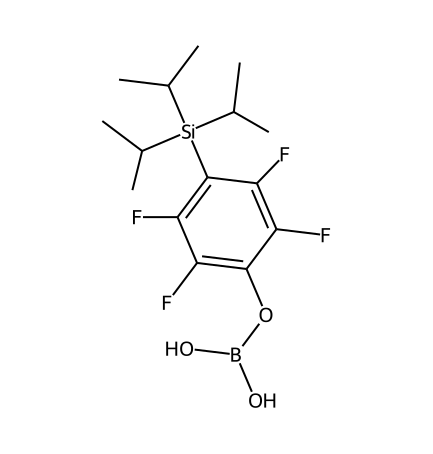 CC(C)[Si](c1c(F)c(F)c(OB(O)O)c(F)c1F)(C(C)C)C(C)C